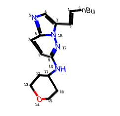 CCCC/C=C/c1cnc2ccc(NC3CCOCC3)nn12